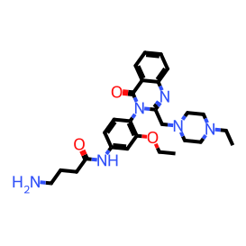 CCOc1cc(NC(=O)CCCN)ccc1-n1c(CN2CCN(CC)CC2)nc2ccccc2c1=O